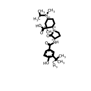 CC(C)N(C)[C@@H]1CC[C@H](N2CC[C@H](NC(=O)c3ccc(O)c(C(C)(C)C)c3)C2=O)[C@@](C)(C(=O)O)C1